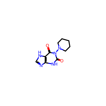 O=c1[nH]c2nc[nH]c2c(=O)n1N1CCCCC1